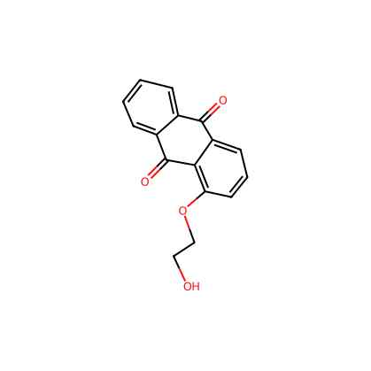 O=C1c2ccccc2C(=O)c2c(OCCO)cccc21